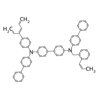 C=C/C=C(\C=C)c1ccc(N(c2ccc(-c3ccccc3)cc2)c2ccc(-c3ccc(N(Cc4ccccc4/C=C\C)c4ccc(-c5ccccc5)cc4)cc3)cc2)cc1